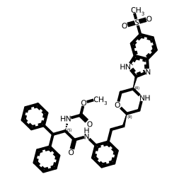 COC(=O)N[C@H](C(=O)Nc1ccccc1CC[C@@H]1CN[C@H](c2nc3ccc(S(C)(=O)=O)cc3[nH]2)CO1)C(c1ccccc1)c1ccccc1